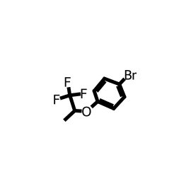 CC(Oc1ccc(Br)cc1)C(F)(F)F